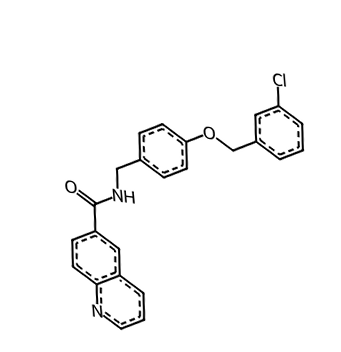 O=C(NCc1ccc(OCc2cccc(Cl)c2)cc1)c1ccc2ncccc2c1